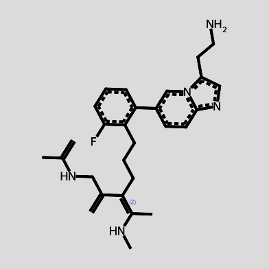 C=C(C)NCC(=C)/C(CCCc1c(F)cccc1-c1ccc2ncc(CCN)n2c1)=C(/C)NC